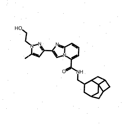 Cc1cc(-c2cn3c(C(=O)NCC45CC6CC7CC(C4)C7(C6)C5)cccc3n2)nn1CCO